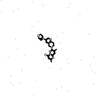 Cc1cc(=O)n2nc(N3CCc4ncc(N5CC6CC5CO6)cc4C3)c(C)cc2n1